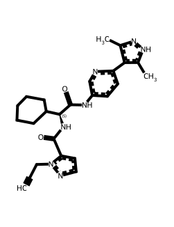 C#CCn1nccc1C(=O)N[C@H](C(=O)Nc1ccc(-c2c(C)n[nH]c2C)nc1)C1CCCCC1